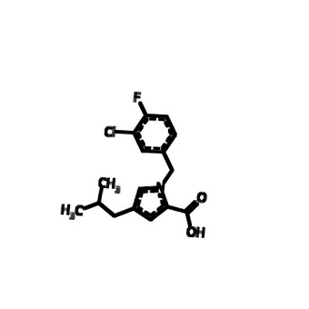 CC(C)Cc1cc(C(=O)O)n(Cc2ccc(F)c(Cl)c2)c1